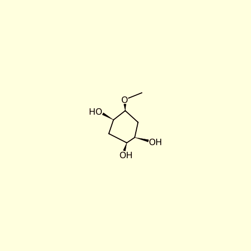 CO[C@H]1C[C@@H](O)[C@@H](O)C[C@H]1O